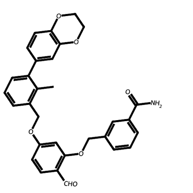 Cc1c(COc2ccc(C=O)c(OCc3cccc(C(N)=O)c3)c2)cccc1-c1ccc2c(c1)OCCO2